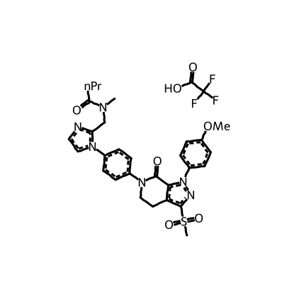 CCCC(=O)N(C)Cc1nccn1-c1ccc(N2CCc3c(S(C)(=O)=O)nn(-c4ccc(OC)cc4)c3C2=O)cc1.O=C(O)C(F)(F)F